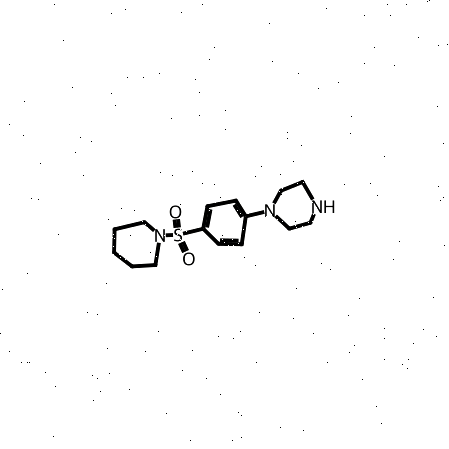 O=S(=O)(c1ccc(N2CCNCC2)cc1)N1CCCCC1